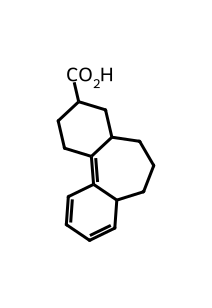 O=C(O)C1CCC2=C3C=CC=CC3CCCC2C1